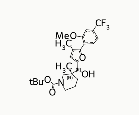 COc1cc(C(F)(F)F)ccc1-c1oc([C@H](O)[C@]2(C)CCCN(C(=O)OC(C)(C)C)C2)cc1C